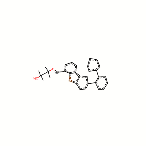 CC(C)(O)C(C)(C)OBc1cccc2c1sc1ccc(-c3ccccc3-c3ccccc3)cc12